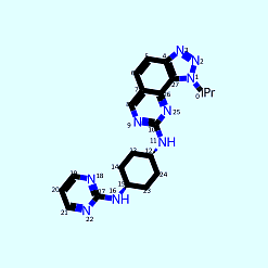 CC(C)n1nnc2ccc3cnc(N[C@H]4CC[C@H](Nc5ncccn5)CC4)nc3c21